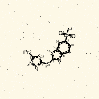 CC(C)c1nnc(Sc2nc3ccc(S(C)(=O)=O)cc3s2)s1